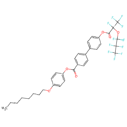 CCCCCCCCOc1ccc(OC(=O)c2ccc(-c3ccc(OC(=O)C(F)(OC(F)(F)C(F)(F)C(F)(F)F)C(F)(F)F)cc3)cc2)cc1